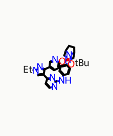 CCn1cc(-c2ccnc(Nc3ccc(N4CC5CCC(C4)N5C(=O)OC(C)(C)C)cc3)n2)c(-c2cccnc2)n1